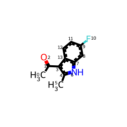 CC(=O)c1c(C)[nH]c2cc(F)ccc12